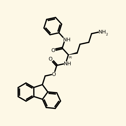 NCCCC[C@@H](NC(=O)OCC1c2ccccc2-c2ccccc21)C(=O)Nc1ccccc1